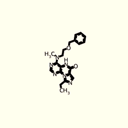 CCc1ncc2c(=O)[nH]c3c(N(C)CCOCc4ccccc4)ncnc3n12